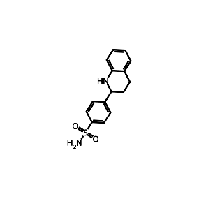 NS(=O)(=O)c1ccc(C2CCc3ccccc3N2)cc1